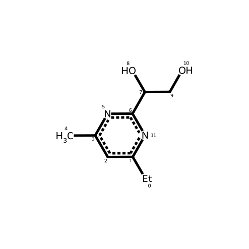 CCc1cc(C)nc(C(O)CO)n1